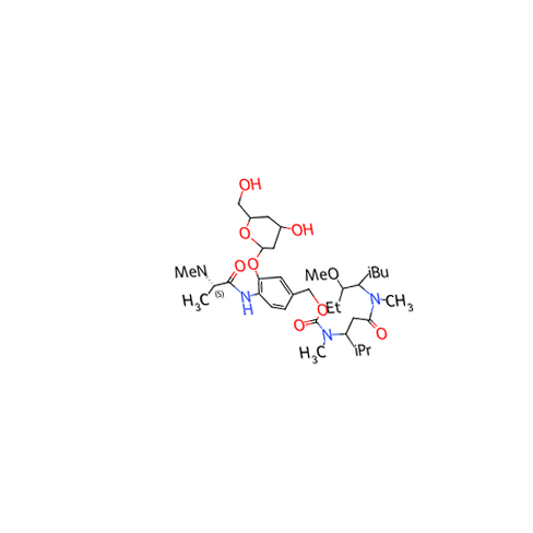 CCC(C)C(C(CC)OC)N(C)C(=O)CC(C(C)C)N(C)C(=O)OCc1ccc(NC(=O)[C@H](C)NC)c(OC2CC(O)CC(CO)O2)c1